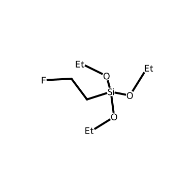 CCO[Si](CCF)(OCC)OCC